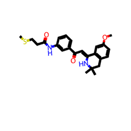 COc1ccc2c(c1)C(=CC(=O)c1cccc(NC(=O)CCSC)c1)NC(C)(C)C2